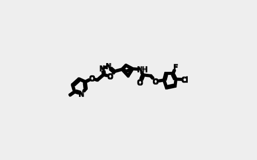 Cc1ccc(OCc2nnc(C34CC(NC(=O)COc5ccc(Cl)c(F)c5)(C3)C4)o2)cn1